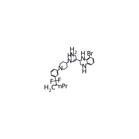 C=C(CCC)C(F)(F)c1cccc(N2CCC(N/C=C(\CN)C3CNc4cccc(Br)c4N3)CC2)c1